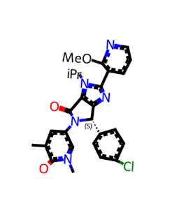 COc1ncccc1-c1nc2c(n1C(C)C)C(=O)N(c1cc(C)c(=O)n(C)c1)[C@H]2c1ccc(Cl)cc1